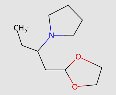 [CH2]CC(CC1OCCO1)N1CCCC1